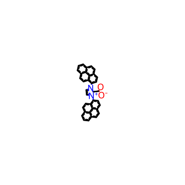 O=C([O-])c1n(-c2ccc3ccc4cccc5ccc2c3c45)cc[n+]1-c1ccc2ccc3cccc4ccc1c2c34